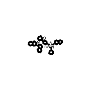 c1ccc(C2N=C(c3ccc4ccccc4c3)N=C(c3ccc4c(c3)oc3cccc(-n5c6cc7ccccc7cc6c6c7ccccc7ccc65)c34)N2)cc1